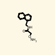 NOCC(=O)NCc1cccc2ccccc12